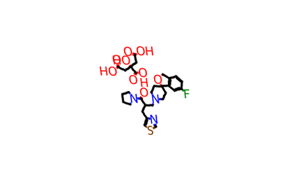 O=C(C(Cc1cscn1)CN1CCC2(CC1)OCc1ccc(F)cc12)N1CCCC1.O=C(O)CC(O)(CC(=O)O)C(=O)O